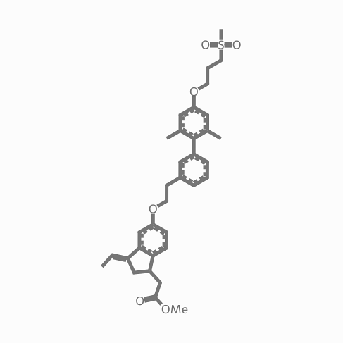 CC=C1CC(CC(=O)OC)c2ccc(OCCc3cccc(-c4c(C)cc(OCCCS(C)(=O)=O)cc4C)c3)cc21